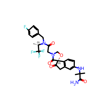 C[C@H](N(Cc1ccc(F)cc1)C(=O)CN1CO[C@]2(C(=O)Cc3cc(NC(C)(C)C(N)=O)ccc32)C1=O)C(F)(F)F